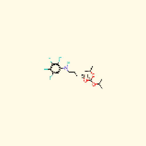 CC(C)OC(O[SiH2]CCCN(F)c1cc(F)c(F)c(F)c1F)OC(C)C